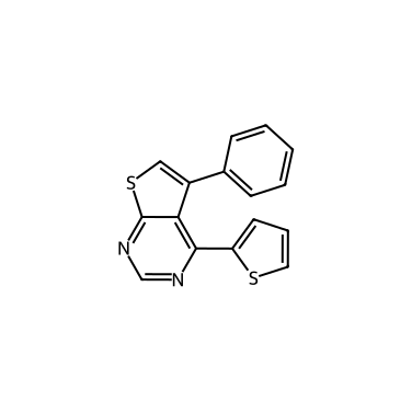 c1ccc(-c2csc3ncnc(-c4cccs4)c23)cc1